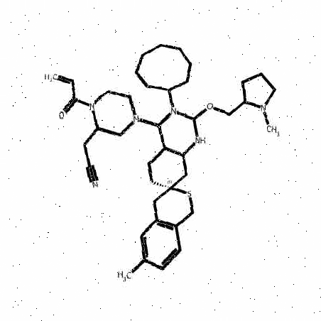 C=CC(=O)N1CCN(C2C3CC[C@]4(Cc5cc(C)ccc5CS4)CC3NC(OCC3CCCN3C)N2C2CCCCCCC2)CC1CC#N